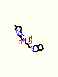 Cc1ccc2nc(C(=O)NCC(O)CN3CCc4ccccc4C3)cn2c1